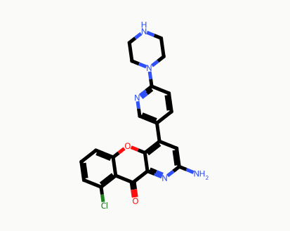 Nc1cc(-c2ccc(N3CCNCC3)nc2)c2oc3cccc(Cl)c3c(=O)c2n1